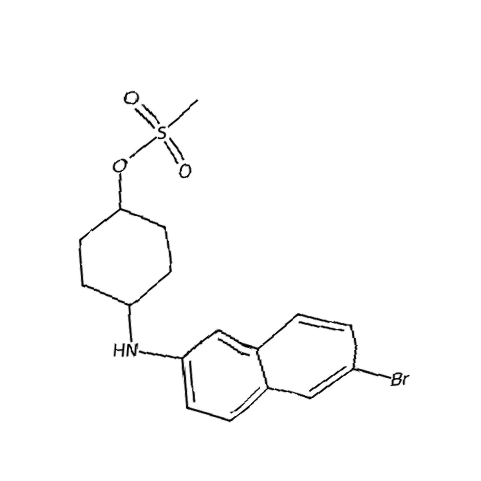 CS(=O)(=O)OC1CCC(Nc2ccc3cc(Br)ccc3c2)CC1